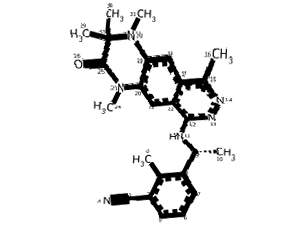 Cc1c(C#N)cccc1[C@@H](C)Nc1nnc(C)c2cc3c(cc12)N(C)C(=O)C(C)(C)N3C